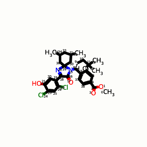 COC(=O)c1ccc([C@@H](CCC(C)(C)C)N2C(=O)C(c3cc(O)c(Cl)cc3Cl)=NC23CC(C)CC(C)C3)cc1